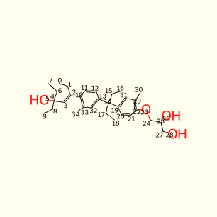 CCC(=CC(O)(CC)CC)c1ccc(C(CC)(CC)c2ccc(OCC(O)CO)c(C)c2)cc1C